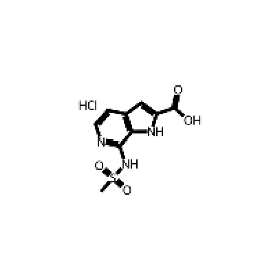 CS(=O)(=O)Nc1nccc2cc(C(=O)O)[nH]c12.Cl